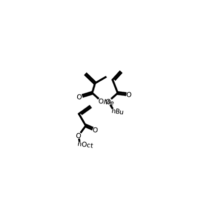 C=C(C)C(=O)OC.C=CC(=O)OCCCC.C=CC(=O)OCCCCCCCC